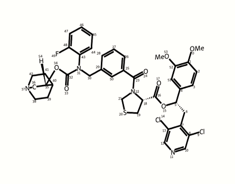 COc1ccc([C@H](Cc2c(Cl)cncc2Cl)OC(=O)[C@@H]2CSCN2C(=O)c2cccc(CN(C(=O)O[C@H]3CN4CCC3CC4)c3ccccc3F)c2)cc1OC